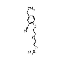 CCc1ccc(OCCOCCOC)c(C#N)c1